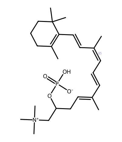 CC(C=C/C=C(/C)C=CC1=C(C)CCCC1(C)C)=CCC(C[N+](C)(C)C)OP(=O)([O-])O